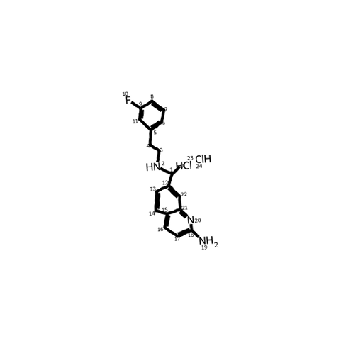 CC(NCCc1cccc(F)c1)c1ccc2ccc(N)nc2c1.Cl.Cl